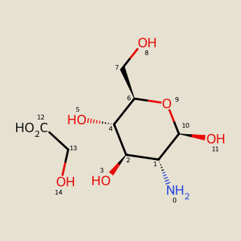 N[C@@H]1[C@@H](O)[C@H](O)[C@@H](CO)O[C@H]1O.O=C(O)CO